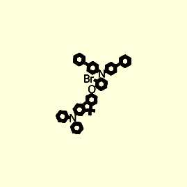 CC1(C)c2ccc(Oc3cccc(N(c4ccc(-c5ccccc5)cc4)c4ccc(-c5ccccc5)cc4)c3Br)cc2-c2ccc(N(c3ccccc3)c3ccccc3)cc21